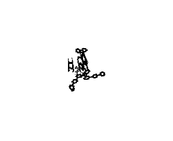 CC1(C)c2cc(N(c3cccc(-c4ccc(-c5ccccc5)cc4)c3)c3cccc(-c4ccc(-c5ccccc5)cc4)c3)ccc2-c2ccc(-n3c4ccccc4c4ccccc43)cc21